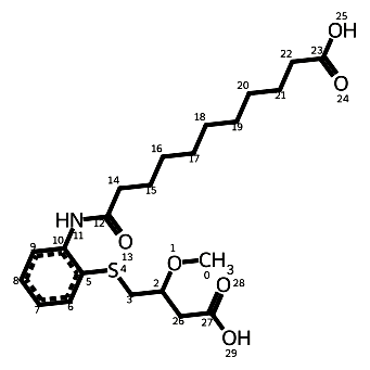 COC(CSc1ccccc1NC(=O)CCCCCCCCCC(=O)O)CC(=O)O